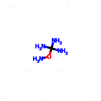 NOC(N)(N)N